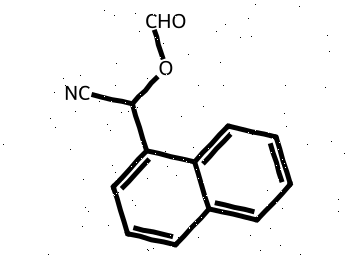 N#CC(OC=O)c1cccc2ccccc12